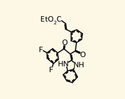 CCOC(=O)/C=C/c1cccc(C(=O)C(C(=O)c2cc(F)cc(F)c2)=C2Nc3ccccc3N2)c1